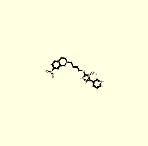 Cn1c(SC/C=C/CN2CCc3ccc([N+](=O)[O-])cc3C2)nnc1-c1cccnc1